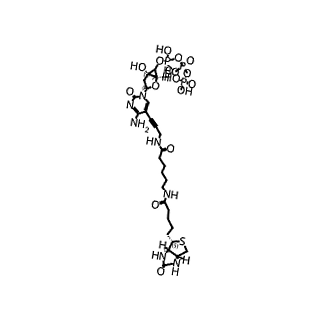 Nc1nc(=O)n([C@H]2C[C@@]3(O)C(OP(=O)(O)OP(=O)(O)OP(=O)(O)O)[C@H]3O2)cc1C#CCNC(=O)CCCCCNC(=O)CCCC[C@@H]1SC[C@@H]2NC(=O)N[C@@H]21